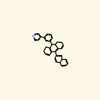 C1=CC2C=CC(C3=C4C=CCCC4C(c4cccc(-c5ccncc5)c4)C4=C3C=CCC4)=CC2C=C1